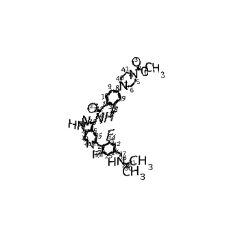 COC(=O)N1CCN(c2ccc(C(=O)Nc3n[nH]c4cnc(-c5c(F)cc(CNC(C)C)cc5F)cc34)c(F)c2)CC1